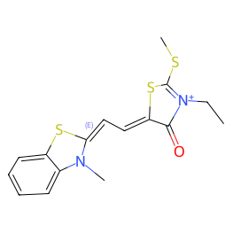 CC[N+]1=C(SC)SC(=C/C=C2/Sc3ccccc3N2C)C1=O